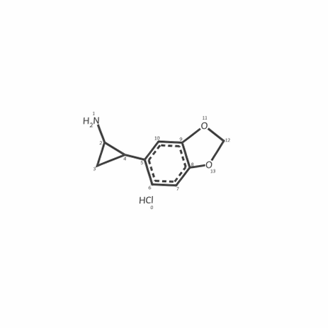 Cl.NC1CC1c1ccc2c(c1)OCO2